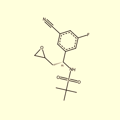 CC(C)(C)S(=O)(=O)N[C@H](CC1CO1)c1cc(F)cc(C#N)c1